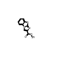 CC(C)OC(=O)c1cn2c(n1)sc1ccccc12